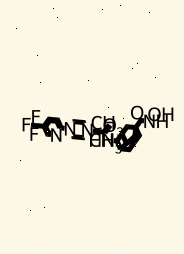 CC(C)(C(=O)NC1C2CC3CC1CC(C(=O)NO)(C3)C2)N1CCN(c2ccc(C(F)(F)F)cn2)CC1